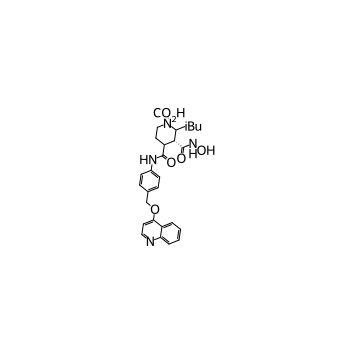 CCC(C)C1[C@H](C(=O)NO)C(C(=O)Nc2ccc(COc3ccnc4ccccc34)cc2)CCN1C(=O)O